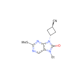 CCn1c(=O)n([C@H]2C[C@H](C#N)C2)c2nc(SC)ncc21